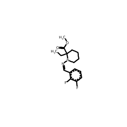 CCC1(C(=O)OC)CCCCN1/N=C\c1cccc(F)c1F